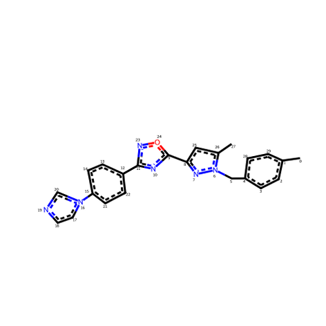 Cc1ccc(Cn2nc(-c3nc(-c4ccc(-n5ccnc5)cc4)no3)cc2C)cc1